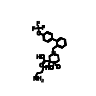 NCCCCC1(C(=O)O)CN(Cc2ccccc2-c2ccc(OC(F)(F)F)cc2)CCP1(=O)O